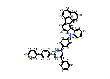 c1ccc(-c2cc(-c3ccc(-n4c5ccccc5c5c6c(ccc54)-c4cccc5cccc-6c45)cc3)nc(-c3ccc(-c4cccnc4)cc3)n2)cc1